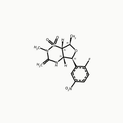 C=C1N[C@@H]2[C@@H]([C@@H](C)O[C@H]2c2cc([N+](=O)[O-])ccc2F)S(=O)(=O)N1C